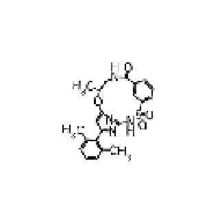 Cc1cccc(C)c1-c1cc2nc(n1)NS(=O)(=O)c1cccc(c1)C(=O)NC[C@H](C)O2